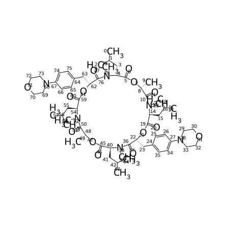 CC(C)C[C@@H]1C(=O)O[C@H](C)C(=O)N(C)[C@@H](CC(C)C)C(=O)O[C@H](Cc2ccc(N3CCOCC3)cc2)C(=O)N(C)[C@@H](CC(C)C)C(=O)O[C@H](C)C(=O)N(C)[C@@H](CC(C)C)C(=O)O[C@H](Cc2ccc(N3CCOCC3)cc2)C(=O)N1C